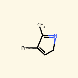 CC(C)C1=CCN=C1C(F)(F)F